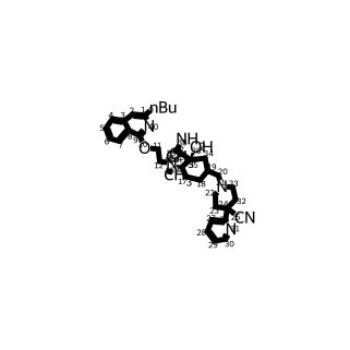 CCCCc1cc2ccccc2c(OCC[N+](C)(C)[C@H]2CCC(CN3CCC(C#N)(c4ccccn4)CC3)C[C@@]2(O)C(N)=O)n1